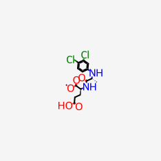 COC(=O)[C@H](CCC(=O)O)NC(=O)[C@@H](C)Nc1ccc(Cl)c(Cl)c1